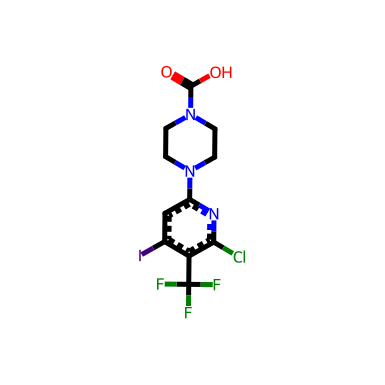 O=C(O)N1CCN(c2cc(I)c(C(F)(F)F)c(Cl)n2)CC1